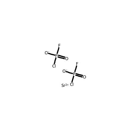 O=P([O-])(F)Cl.O=P([O-])(F)Cl.[Sr+2]